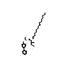 CCCCCCCC(=O)CCCCCCC=C[C@H](C(=O)N[C@@H](Cc1ccc(-c2ccccc2F)cc1)C(N)=O)[C@@](O)(CCOC)C(=O)O